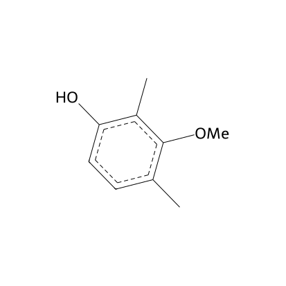 COc1c(C)ccc(O)c1C